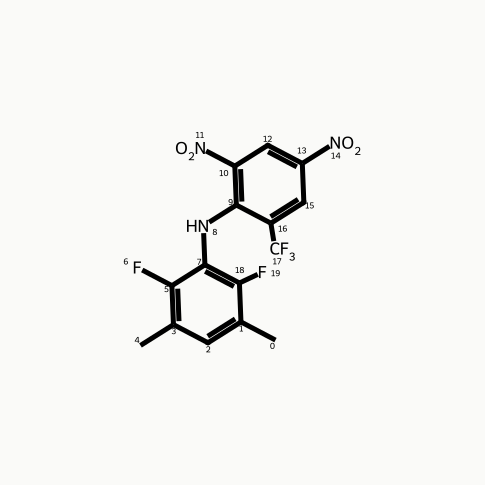 Cc1cc(C)c(F)c(Nc2c([N+](=O)[O-])cc([N+](=O)[O-])cc2C(F)(F)F)c1F